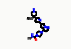 COC1(c2ccc(-c3cc4c(N5CCN(C(=O)NC(C)C)CC5)ccnn4c3)nc2)CCNCC1